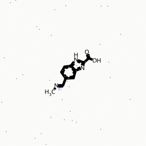 C/N=C/c1ccc2[nH]c(C(=O)O)nc2c1